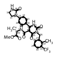 COC(=O)[C@H](C)NC(=O)c1c(-c2ccc(N3CCNC3=O)cc2)[nH]c(=O)n(Cc2cccc(C(F)(F)F)c2C)c1=O